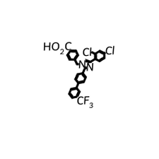 O=C(O)c1ccc(Cn2cc(-c3ccc(Cl)cc3Cl)nc2-c2ccc(-c3cccc(C(F)(F)F)c3)cc2)cc1